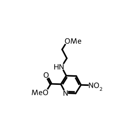 COCCNc1cc([N+](=O)[O-])cnc1C(=O)OC